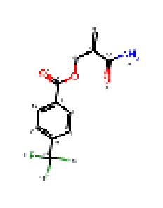 C=C(COC(=O)c1ccc(C(F)(F)F)cc1)C(N)=O